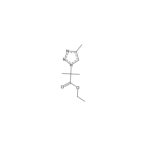 CCOC(=O)C(C)(C)n1cc(C)nn1